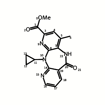 COC(=O)c1cc(C)c2c(n1)N(C1CC1)c1ncccc1C(=O)N2